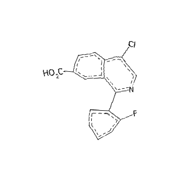 O=C(O)c1ccc2c(Cl)cnc(-c3ccccc3F)c2c1